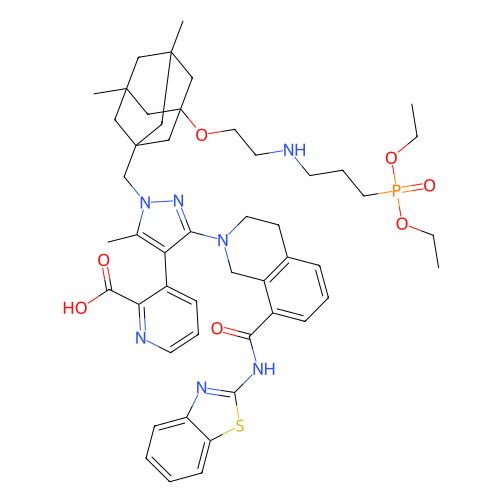 CCOP(=O)(CCCNCCOC12CC3(C)CC(C)(CC(Cn4nc(N5CCc6cccc(C(=O)Nc7nc8ccccc8s7)c6C5)c(-c5cccnc5C(=O)O)c4C)(C3)C1)C2)OCC